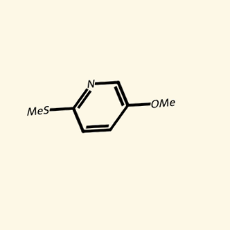 COc1ccc(SC)nc1